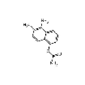 Cc1ccc2c(OC(N)=O)cccc2c1N